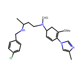 COC1=C(n2cnc(C)c2)C=CC(N(C=O)CCC(C)NCc2ccc(Cl)cc2)C1